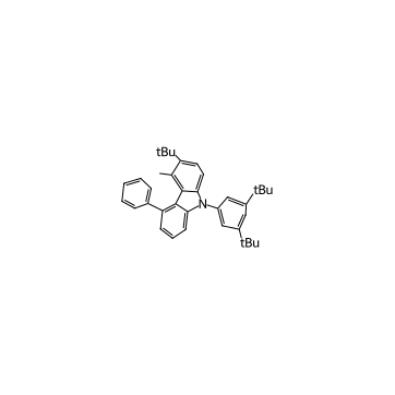 Cc1c(C(C)(C)C)ccc2c1c1c(-c3ccccc3)cccc1n2-c1cc(C(C)(C)C)cc(C(C)(C)C)c1